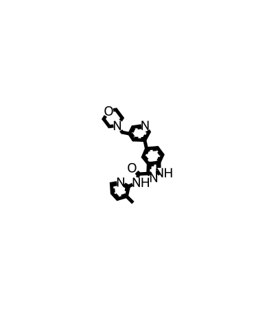 Cc1cccnc1NC(=O)c1n[nH]c2ccc(-c3cncc(CN4CCOCC4)c3)cc12